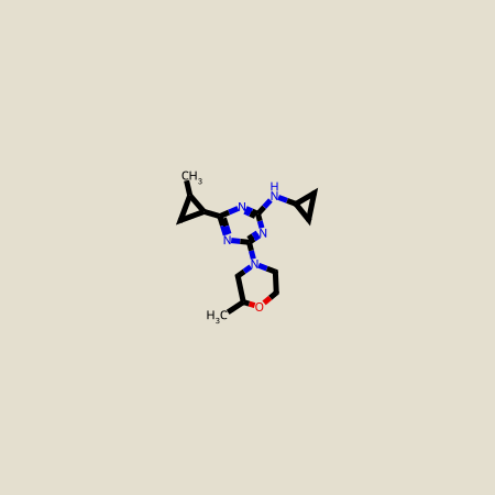 CC1CN(c2nc(NC3CC3)nc(C3CC3C)n2)CCO1